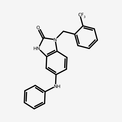 O=c1[nH]c2cc(Nc3ccccc3)ccc2n1Cc1ccccc1C(F)(F)F